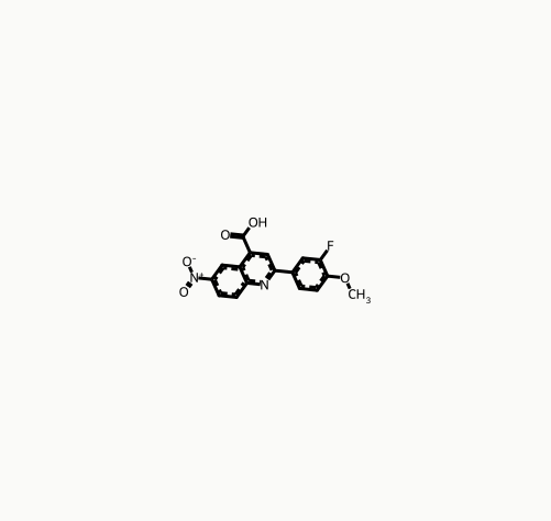 COc1ccc(-c2cc(C(=O)O)c3cc([N+](=O)[O-])ccc3n2)cc1F